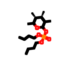 CCCCOP(=O)(OCCCC)OC1OC(C)[C@H](C)[C@H](C)C1C